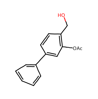 CC(=O)Oc1cc(-c2ccccc2)ccc1CO